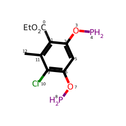 CCOC(=O)c1c(OP)cc(OP)c(Cl)c1C